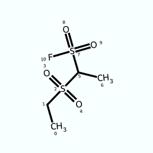 CCS(=O)(=O)C(C)S(=O)(=O)F